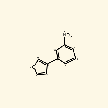 O=[N+]([O-])c1cc[c]c(-c2ccoc2)c1